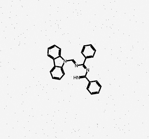 N=C(/N=C(\N=C\n1c2ccccc2c2ccccc21)c1ccccc1)c1ccccc1